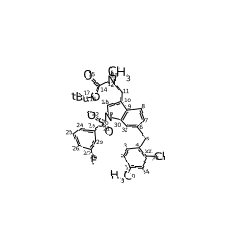 Cc1ccc(Cc2ccc3c(CN(C)C(=O)OC(C)(C)C)cn(S(=O)(=O)c4cccc(F)c4)c3c2)c(Cl)c1